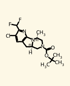 C[C@@H]1CN(C(=O)OC(C)(C)C)C[C@H]2Cc3cc(Cl)c(C(F)F)nc3N21